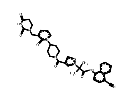 CC(C)(C(=O)Nc1ccc(C#N)c2ccccc12)n1cc(C(=O)N2CCC(n3cccc(CN4CCC(=O)NC4=O)c3=O)CC2)cn1